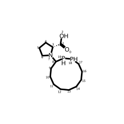 O=C(O)[C@H]1CCCN1C1CCCCCCCCCPP1